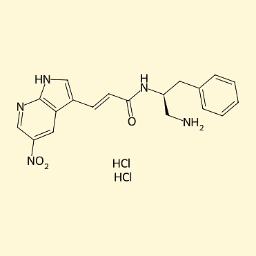 Cl.Cl.NC[C@H](Cc1ccccc1)NC(=O)/C=C/c1c[nH]c2ncc([N+](=O)[O-])cc12